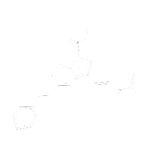 CN(C)C(=O)/C=C/c1cn(C(=O)OC(C)(C)C)c2ccc(OCc3ccccc3)cc12